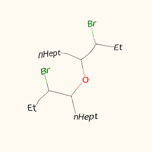 CCCCCCCC(OC(CCCCCCC)C(Br)CC)C(Br)CC